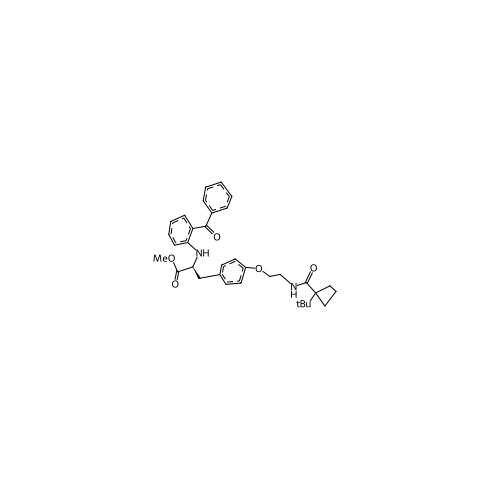 COC(=O)[C@H](Cc1ccc(OCCNC(=O)C2(C(C)(C)C)CCC2)cc1)Nc1ccccc1C(=O)c1ccccc1